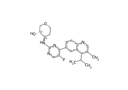 Cc1cnc2ccc(-c3nc(N[C@@H]4CCOC[C@H]4O)ncc3F)cc2c1C(C)C